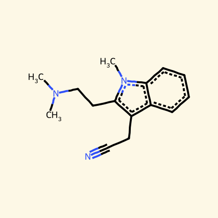 CN(C)CCc1c(CC#N)c2ccccc2n1C